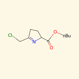 CCCCOC(=O)C1CCC(CCl)=N1